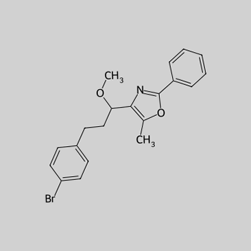 COC(CCc1ccc(Br)cc1)c1nc(-c2ccccc2)oc1C